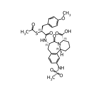 COc1ccc(C[C@H](SC(C)=O)C(=O)N[C@H]2Cc3ccc(NS(C)(=O)=O)cc3[C@H]3CCC[C@@H](C(=O)O)N3C2=O)cc1